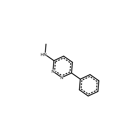 CNc1ccc(-c2ccccc2)nn1